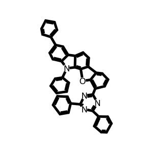 c1ccc(-c2ccc3c(c2)c2ccc4c5cccc(-c6nc(-c7ccccc7)nc(-c7ccccc7)n6)c5oc4c2n3-c2ccccc2)cc1